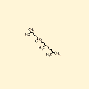 CC(C)=CCC/C(C)=C/COC(=O)CCCC(C)O